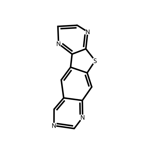 c1ncc2cc3c(cc2n1)sc1nccnc13